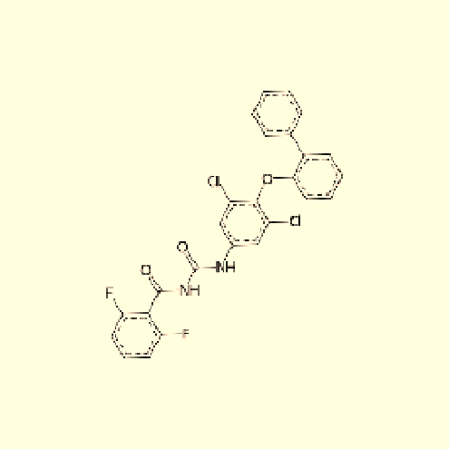 O=C(NC(=O)c1c(F)cccc1F)Nc1cc(Cl)c(Oc2ccccc2-c2ccccc2)c(Cl)c1